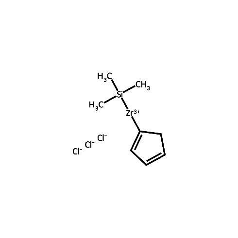 C[Si](C)(C)[Zr+3][C]1=CC=CC1.[Cl-].[Cl-].[Cl-]